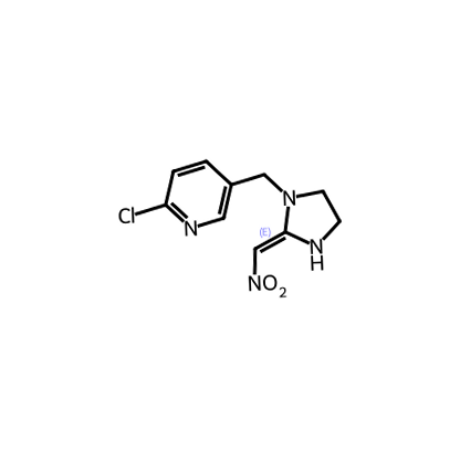 O=[N+]([O-])/C=C1\NCCN1Cc1ccc(Cl)nc1